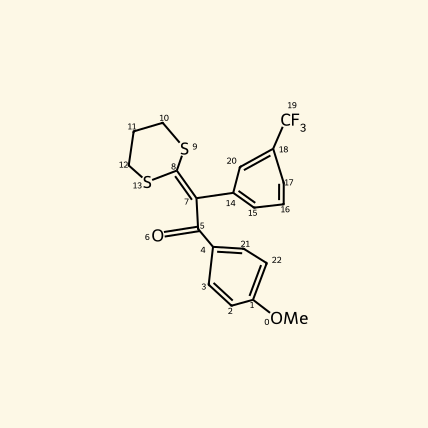 COc1ccc(C(=O)C(=C2SCCCS2)c2cccc(C(F)(F)F)c2)cc1